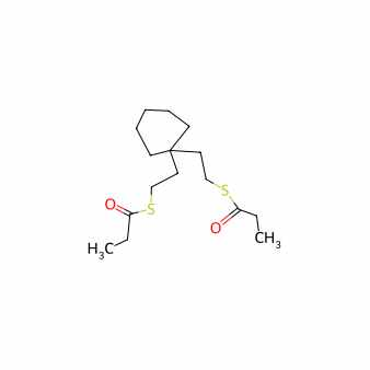 CCC(=O)SCCC1(CCSC(=O)CC)CCCCC1